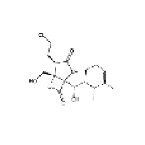 CC1=CCC[C@H]([C@H](O)C23NC(=O)[C@H](CCCl)[C@@]2(CO)OC3=O)C1C